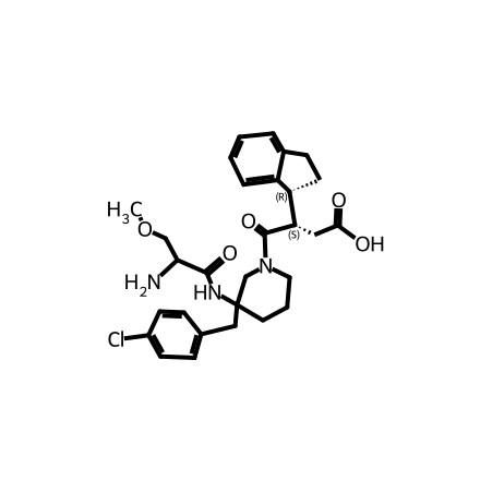 COCC(N)C(=O)NC1(Cc2ccc(Cl)cc2)CCCN(C(=O)[C@@H](CC(=O)O)[C@H]2CCc3ccccc32)C1